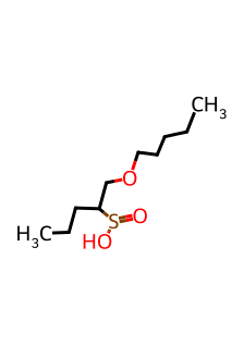 CCCCCOCC(CCC)S(=O)O